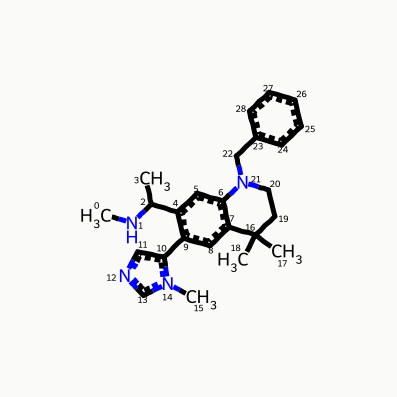 CNC(C)c1cc2c(cc1-c1cncn1C)C(C)(C)CCN2Cc1ccccc1